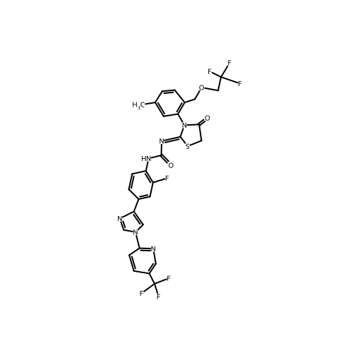 Cc1ccc(COCC(F)(F)F)c(N2C(=O)CSC2=NC(=O)Nc2ccc(-c3cn(-c4ccc(C(F)(F)F)cn4)cn3)cc2F)c1